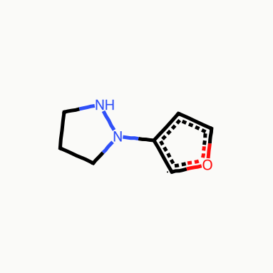 [c]1occc1N1CCCN1